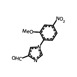 COc1cc([N+](=O)[O-])ccc1-n1cnc(C=O)c1